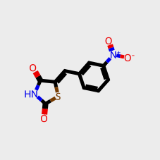 O=C1NC(=O)/C(=C/c2cccc([N+](=O)[O-])c2)S1